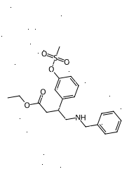 CCOC(=O)CC(CNCc1ccccc1)c1cccc(OS(C)(=O)=O)c1